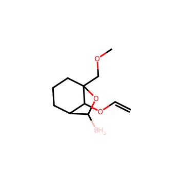 BC1OC2(COC)CCCC1C2OC=C